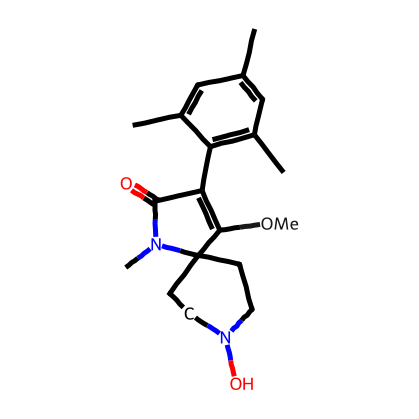 COC1=C(c2c(C)cc(C)cc2C)C(=O)N(C)C12CCN(O)CC2